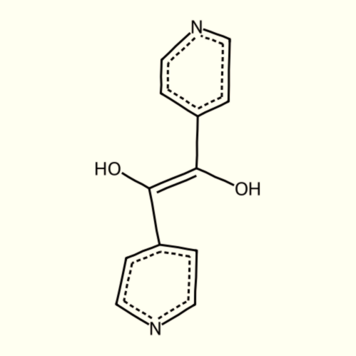 OC(=C(O)c1ccncc1)c1ccncc1